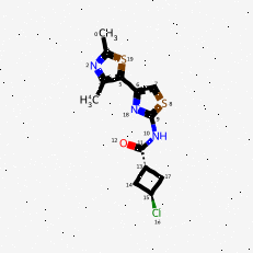 Cc1nc(C)c(-c2csc(NC(=O)[C@H]3C[C@H](Cl)C3)n2)s1